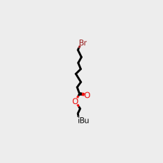 CCC(C)CCOC(=O)CCCCCCCBr